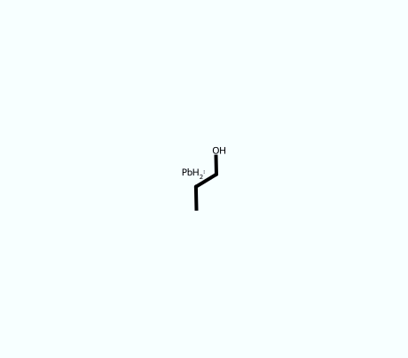 CCCO.[PbH2]